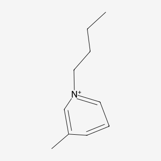 CCCC[n+]1cccc(C)c1